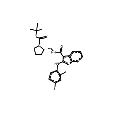 CC(C)(C)OC(=O)N1CCC[C@H]1CNC(=O)c1c(Nc2ccc(I)cc2F)sc2ncccc12